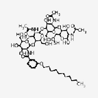 CCCCCCCCCCCOc1cccc(C(=O)N[C@@H]2C(OC3C(CO)OC(OC4C(CO)OC(OC5C(COS)OC(O)[C@@H](NC(C)=O)C5O)[C@@H](NC(C)=O)C4O)[C@@H](NC(C)=O)C3O)OC(CO)C(O)C2O)c1